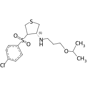 CC(C)OCCCN[C@H]1CSCC1S(=O)(=O)c1ccc(Cl)cc1